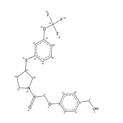 O=C(COc1ccc(CO)cc1)N1CCC(Sc2cccc(OC(F)(F)F)c2)C1